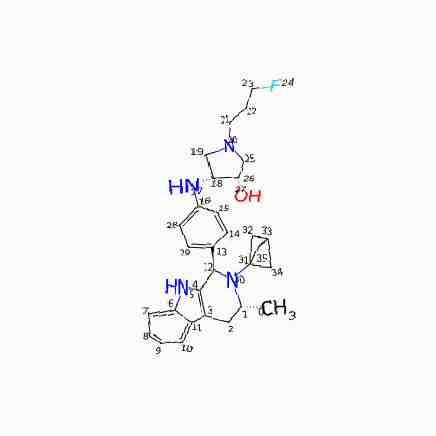 C[C@@H]1Cc2c([nH]c3ccccc23)[C@@H](c2ccc(N[C@@H]3CN(CCCF)C[C@@H]3O)cc2)N1C12CC(C1)C2